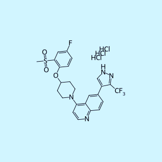 CS(=O)(=O)c1cc(F)ccc1OC1CCN(c2ccnc3ccc(-c4c[nH]nc4C(F)(F)F)cc23)CC1.Cl.Cl.Cl